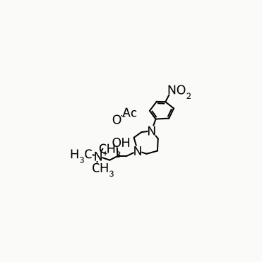 CC(=O)[O-].C[N+](C)(C)CC(O)CN1CCCN(c2ccc([N+](=O)[O-])cc2)CC1